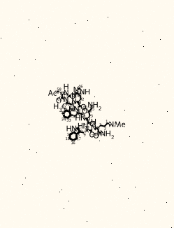 CNCCC[C@H](NC(=O)[C@H](Cc1c[nH]c2ccccc12)NC(=O)[C@H](CCCN)NC(=O)[C@@H](Cc1ccccc1)NC(=O)[C@H](Cc1cnc[nH]1)NC(=O)[C@@H](C)N1C(=O)N[C@@H](CC(C)=O)C1=O)C(N)=O